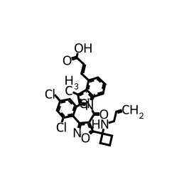 C=CCNC1(c2onc(-c3c(Cl)cc(Cl)cc3Cl)c2C(=O)n2cc(C)c3c(/C=C/C(=O)O)cccc32)CCC1